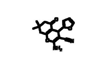 CC1(C)CC(=O)C2=C(C1)OC(N)=C(C#N)C2c1ccco1